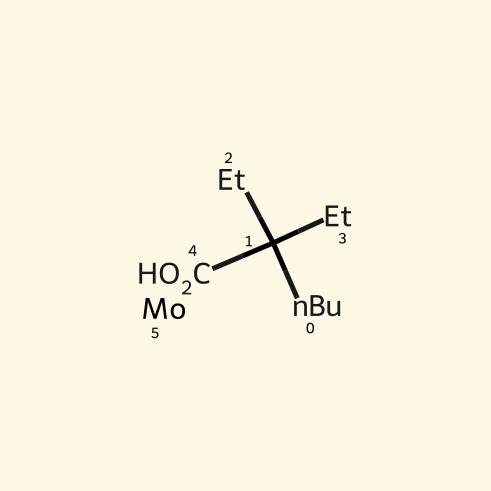 CCCCC(CC)(CC)C(=O)O.[Mo]